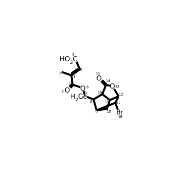 CC(=CC(=O)O)C(=O)[O][GeH2][CH]1C2CC3C(OC(=O)C31)C2Br